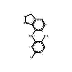 Cc1cnc(Cl)nc1Nc1cccc2c1NCC2